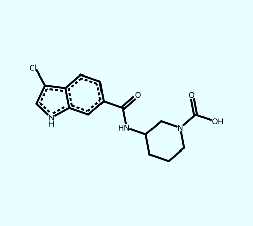 O=C(NC1CCCN(C(=O)O)C1)c1ccc2c(Cl)c[nH]c2c1